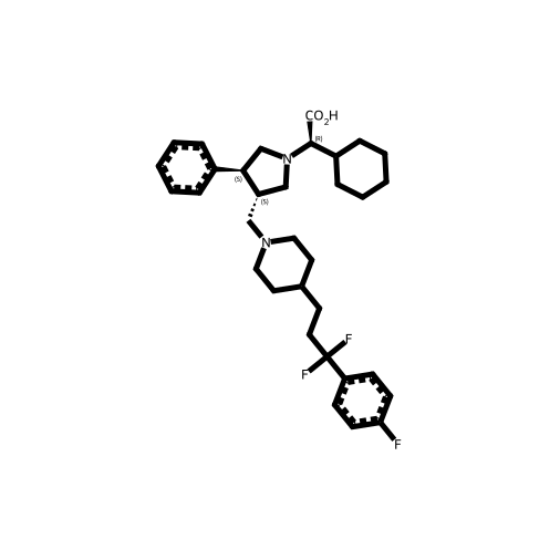 O=C(O)[C@@H](C1CCCCC1)N1C[C@H](CN2CCC(CCC(F)(F)c3ccc(F)cc3)CC2)[C@@H](c2ccccc2)C1